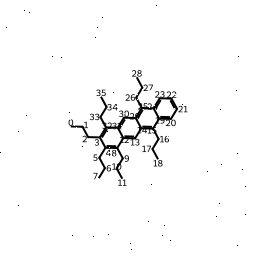 CCCc1c(CCC)c(CCC)c2cc3c(CCC)c4ccccc4c(CCC)c3cc2c1CCC